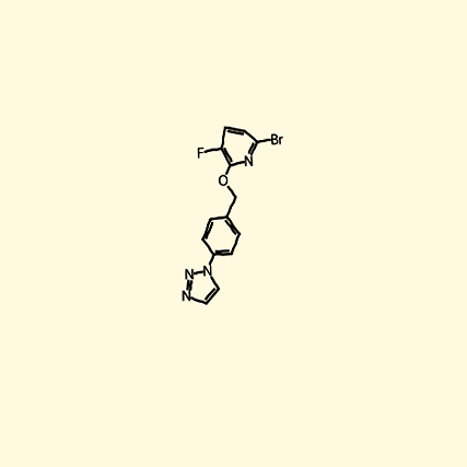 Fc1ccc(Br)nc1OCc1ccc(-n2ccnn2)cc1